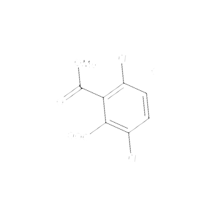 COC(=O)c1c(Cl)ccc(Cl)c1C(=O)[O-].[K+]